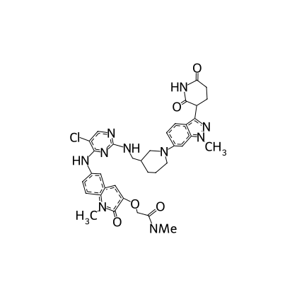 CNC(=O)COc1cc2cc(Nc3nc(NCC4CCCN(c5ccc6c(C7CCC(=O)NC7=O)nn(C)c6c5)C4)ncc3Cl)ccc2n(C)c1=O